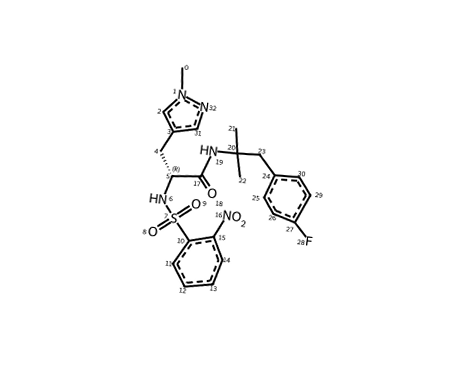 Cn1cc(C[C@@H](NS(=O)(=O)c2ccccc2[N+](=O)[O-])C(=O)NC(C)(C)Cc2ccc(F)cc2)cn1